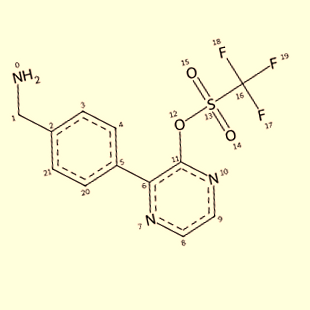 NCc1ccc(-c2nccnc2OS(=O)(=O)C(F)(F)F)cc1